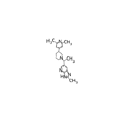 Cc1cc(C2CCCN(C(C)c3cnc4[nH]c(C)nc4c3)C2)cc(C)n1